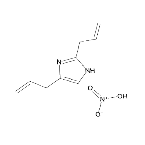 C=CCc1c[nH]c(CC=C)n1.O=[N+]([O-])O